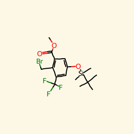 COC(=O)c1cc(O[Si](C)(C)C(C)(C)C)cc(C(F)(F)F)c1CBr